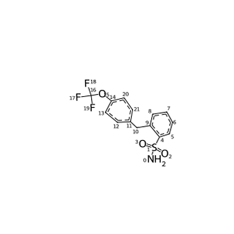 NS(=O)(=O)c1ccccc1Cc1ccc(OC(F)(F)F)cc1